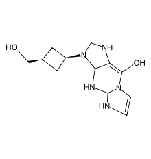 OC[C@H]1C[C@@H](N2CNC3=C(O)N4C=CNC4NC32)C1